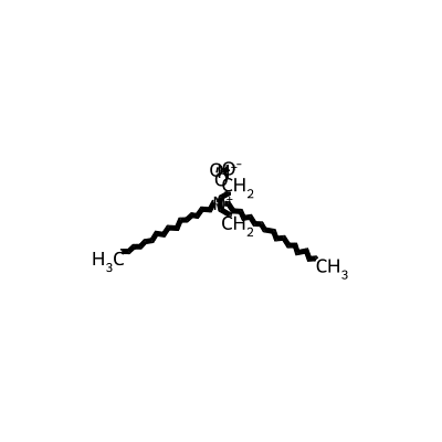 C=CC[N+](CC=C)(CCCCCCCCCCCCCCCCCC)CCCCCCCCCCCCCCCCCC.O=[N+]([O-])[O-]